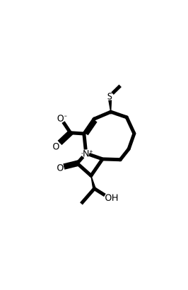 CS[C@@H]1C=C(C(=O)[O-])[N+]2C(=O)[C@H](C(C)O)C2CCCC1